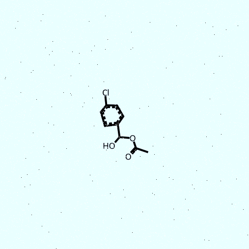 CC(=O)OC(O)c1ccc(Cl)cc1